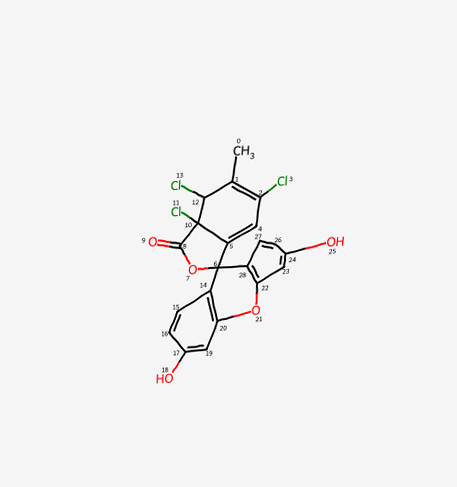 CC1=C(Cl)C=C2C3(OC(=O)C2(Cl)C1Cl)c1ccc(O)cc1Oc1cc(O)ccc13